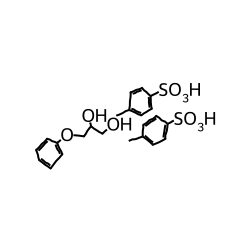 Cc1ccc(S(=O)(=O)O)cc1.Cc1ccc(S(=O)(=O)O)cc1.OCC(O)COc1ccccc1